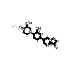 CC(C)(C)C1CN(c2ccc(-c3cnc4c(Br)cnn4c3)cc2C#N)CCN1C(=O)O